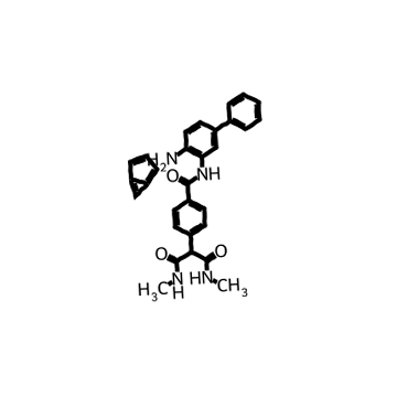 CNC(=O)C(C(=O)NC)c1ccc(C(=O)Nc2cc(-c3ccccc3)ccc2N)cc1.c1cc2cc-2c1